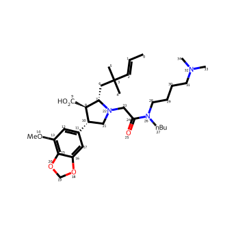 C/C=C/C(C)(C)C[C@H]1[C@H](C(=O)O)[C@@H](c2cc(OC)c3c(c2)OCO3)CN1CC(=O)N(CCCC)CCCCN(C)C